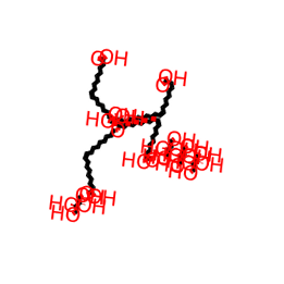 O=C(O)CCCCCCC/C=C\CCCCCCCCOC(CCCCCCCC/C=C\CCCCCCCC(=O)O)(CCCCCCCC/C=C\CCCCCCCC(=O)O)[C@@](O)(CCCCCCCC/C=C\CCCCCCCC(=O)O)[C@H](O)CO.OC[C@@H](O)[C@@H](O)CO.OC[C@@H](O)[C@@H](O)CO.OC[C@@H](O)[C@@H](O)CO.OC[C@@H](O)[C@@H](O)CO